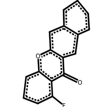 O=c1c2cc3ccccc3cc2oc2cccc(F)c12